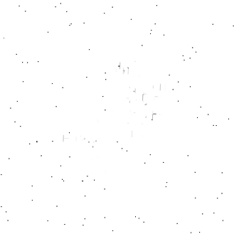 CC[Si](CC)(CC)OC(C1CCC(N(C)C2CC2)CC1)(C(F)(F)F)C(F)(F)F